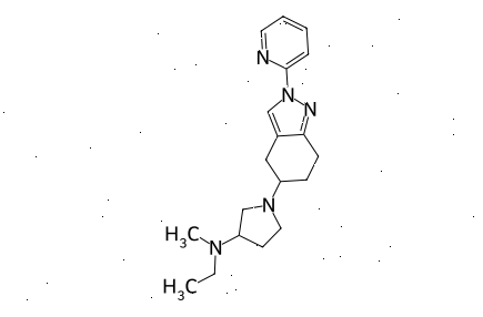 CCN(C)C1CCN(C2CCc3nn(-c4ccccn4)cc3C2)C1